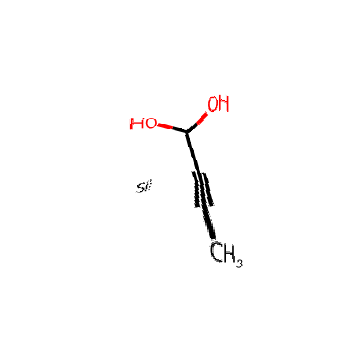 CC#CC(O)O.[Si]